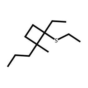 CCCC1(C)CCC1(CC)SCC